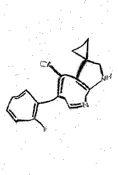 Fc1[c]cccc1-c1cnc2c(c1Cl)C1(CC1)CN2